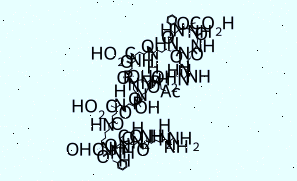 CC(=O)CCP(=O)(O)CN1CCN(CP(=O)(O)CCC(=O)NC(CCC(=O)NCCCC[C@@H]2NC(=O)[C@@H](Cc3ccccc3)NC(=O)[C@H](CC(=O)O)NC(=O)CNC(=O)[C@H](CCCNC(=N)N)NC2=O)C(=O)O)CCN(CP(=O)(O)CCC(=O)N[C@@H](CCC(=O)NCCCC[C@@H](C=O)NC(=O)[C@@H](Cc2ccccc2)NC(=O)[C@H](CC(=O)O)NC(=O)CNC(=O)[C@@H](N)CCCNC(=N)N)C(=O)O)CC1